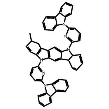 CC1C=Cc2c(c3cc4c(cc3n2-c2cccc(-n3c5ccccc5c5ccccc53)n2)C2C=CC=CC2N4c2cccc(-n3c4ccccc4c4ccccc43)n2)C1